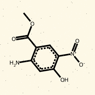 COC(=O)c1cc([N+](=O)[O-])c(O)cc1N